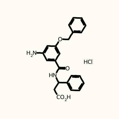 Cl.Nc1cc(OCc2ccccc2)cc(C(=O)NC(CC(=O)O)c2ccccc2)c1